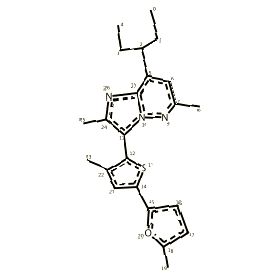 CCC(CC)c1cc(C)nn2c(-c3sc(-c4ccc(C)o4)cc3C)c(C)nc12